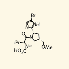 COC[C@H]1C[C@@H](c2ncc(Br)[nH]2)N(C(=O)[C@H](C(C)C)N(C)C(=O)O)C1